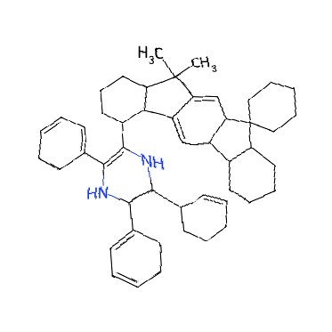 CC1(C)C2=CC3C(C=C2C2C(C4=C(C5=CC=CCC5)NC(C5=CC=CCC5)C(C5C=CCCC5)N4)CCCC21)C1CCCCC1C31CCCCC1